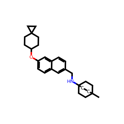 CC12CCC(NCc3ccc4cc(OC5CCC6(CC5)CC6)ccc4c3)(CC1)CC2